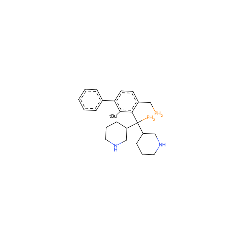 CC(C)(C)c1c(-c2ccccc2)ccc(CP)c1C(P)(C1CCCNC1)C1CCCNC1